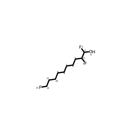 OC(F)C(F)CCCCCCCCF